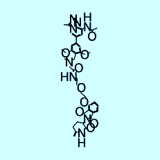 C=C1CCC(N2C(=O)c3cccc(OCCOCCNC(=O)CN(C)Cc4c(OC)cc(-c5cc(NC(C)=O)c6nnc(C)n6c5)cc4OC)c3C2=O)C(=O)N1